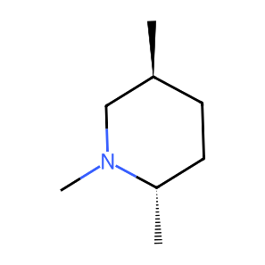 C[C@H]1CC[C@H](C)N(C)C1